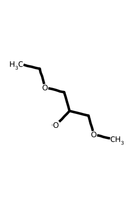 CCOCC([O])COC